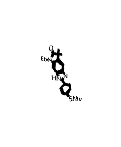 CCN1C(=O)C(C)(C)c2cc3nc(-c4ccc(SC)cc4)[nH]c3cc21